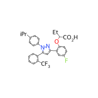 CCC(Oc1ccc(F)cc1-c1cc(-c2ccccc2C(F)(F)F)n(-c2ccc(C(C)C)cc2)n1)C(=O)O